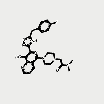 CN(C)C(=O)CN1CCN(c2nc(-c3nnc(Cc4ccc(F)cc4)[nH]3)c(O)c3ncccc23)CC1